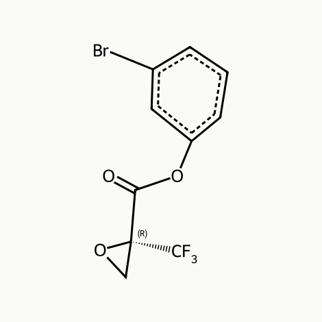 O=C(Oc1cccc(Br)c1)[C@@]1(C(F)(F)F)CO1